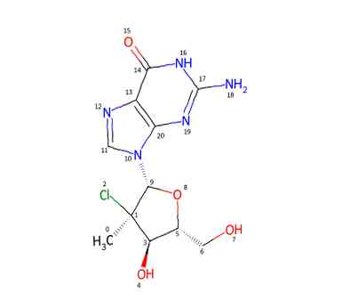 C[C@@]1(Cl)[C@H](O)[C@@H](CO)O[C@H]1n1cnc2c(=O)[nH]c(N)nc21